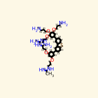 CC(=N)NCCCOc1cc(OCCCNC(=N)N)cc(-c2ccc3sc4ccc(-c5cc(OCCCN)c(OCCCN)c(OCCCN)c5)cc4c3c2)c1